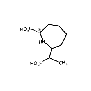 CC(C(=O)O)C1CCCC[C@@H](C(=O)O)N1